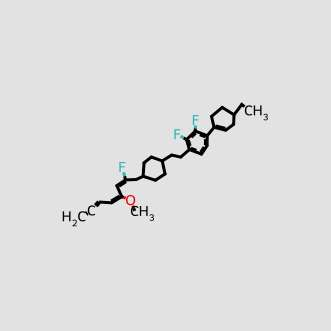 C=C=C/C=C(\C=C(\F)CC1CCC(CCc2ccc(C3=CCC(CC)CC3)c(F)c2F)CC1)OC